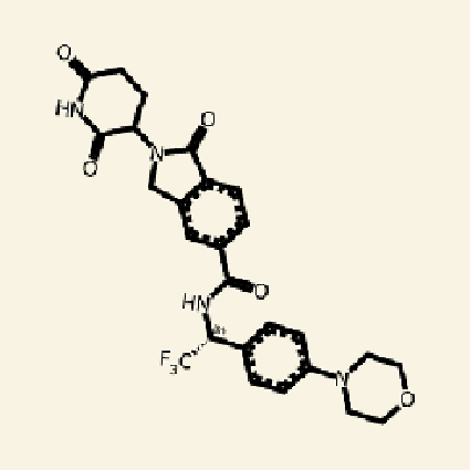 O=C1CCC(N2Cc3cc(C(=O)N[C@H](c4ccc(N5CCOCC5)cc4)C(F)(F)F)ccc3C2=O)C(=O)N1